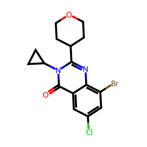 O=c1c2cc(Cl)cc(Br)c2nc(C2CCOCC2)n1C1CC1